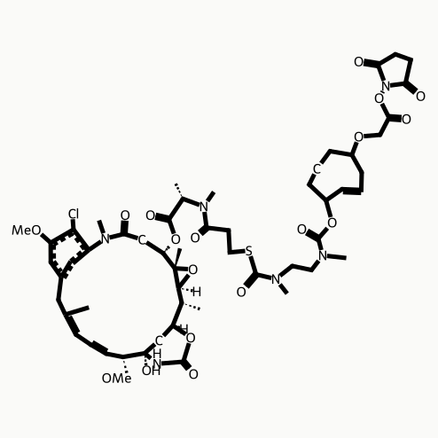 COc1cc2cc(c1Cl)N(C)C(=O)C[C@H](OC(=O)[C@H](C)N(C)C(=O)CCSC(=O)N(C)CCN(C)C(=O)OC1/C=C/CC(OCC(=O)ON3C(=O)CCC3=O)CCC1)[C@]1(C)O[C@H]1[C@H](C)[C@@H]1C[C@@](O)(NC(=O)O1)[C@H](OC)/C=C/C=C(\C)C2